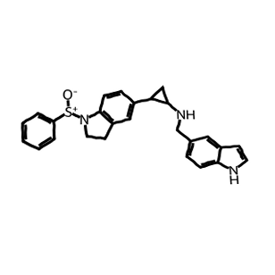 [O-][S+](c1ccccc1)N1CCc2cc(C3CC3NCc3ccc4[nH]ccc4c3)ccc21